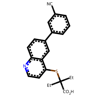 CCC(CC)(Sc1ccnc2ccc(-c3cccc(C#N)c3)cc12)C(=O)O